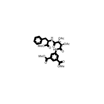 COC(=O)c1cc(NC(=O)[C@H](OC(C)=O)[C@@H](OC(C)=O)C(=O)NC(Cc2ccccc2)C(=O)OC)cc(C(=O)OC)c1